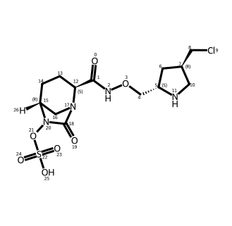 O=C(NOC[C@@H]1C[C@@H](CCl)CN1)[C@@H]1CC[C@@H]2CN1C(=O)N2OS(=O)(=O)O